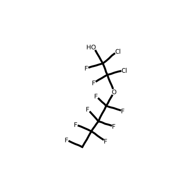 OC(F)(Cl)C(F)(Cl)OC(F)(F)C(F)(F)C(F)(F)CF